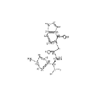 CC(C)[C@H](NC(=O)Cn1ncc2sccc2c1=O)c1ccc(F)cc1